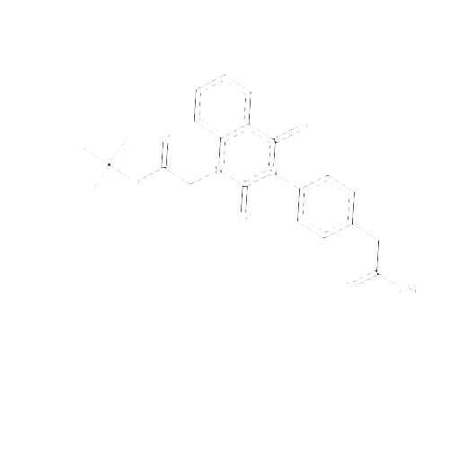 CC(C)(C)OC(=O)Cn1c(=O)n(-c2ccc(CC(=O)O)cc2)c(=O)c2ccccc21